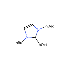 CCCCCCCCCCN1C=CN(CCCC)C1CCCCCCCC